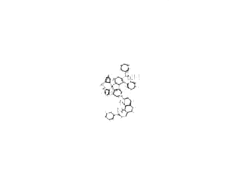 c1ccc(-c2ccc3ccc4ccc(-c5ccc6c(c5)-c5c(ccc7c5-c5ccccc5NC7c5ccccc5)C65c6ccccc6Sc6ccccc65)nc4c3n2)cc1